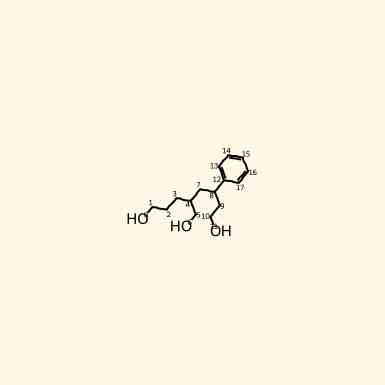 OCCCC(CO)CC(CCO)c1ccccc1